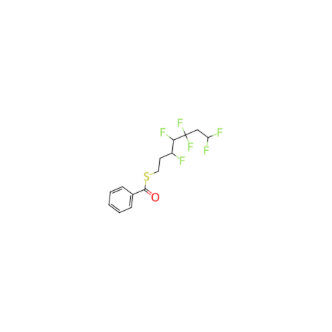 O=C(SCCC(F)C(F)C(F)(F)CC(F)F)c1ccccc1